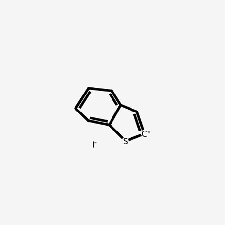 [C+]1=Cc2ccccc2S1.[I-]